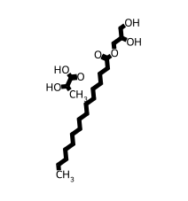 CC(O)C(=O)O.CCCCCCCCCCCCCCCC(=O)OCC(O)CO